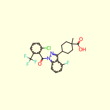 CC1(C(=O)O)CCC(c2nn(C(=O)c3c(Cl)cccc3C(F)(F)F)c3cccc(F)c23)CC1